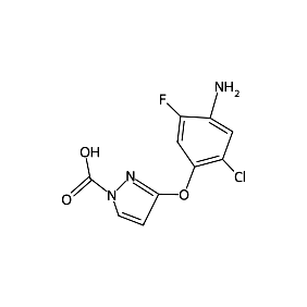 Nc1cc(Cl)c(Oc2ccn(C(=O)O)n2)cc1F